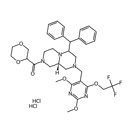 COc1nc(OC)c(CN2CC(C(c3ccccc3)c3ccccc3)N3CCN(C(=O)C4COCCO4)C[C@H]3C2)c(OCC(F)(F)F)n1.Cl.Cl